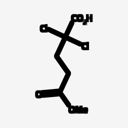 COC(=O)CCC(Cl)(Cl)C(=O)O